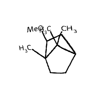 [CH]OC1CC2CCC1(C)C2(C)C